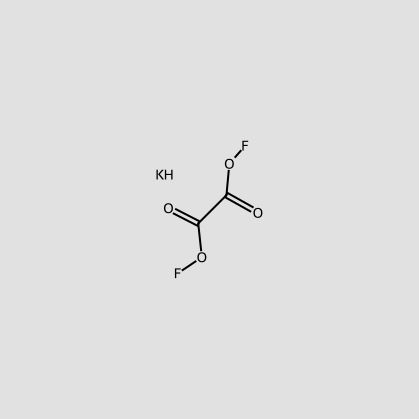 O=C(OF)C(=O)OF.[KH]